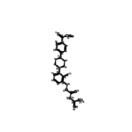 COC(=O)c1ccc(N2CCN(c3nccc(COC(=O)NC(=N)N)c3F)CC2)nn1